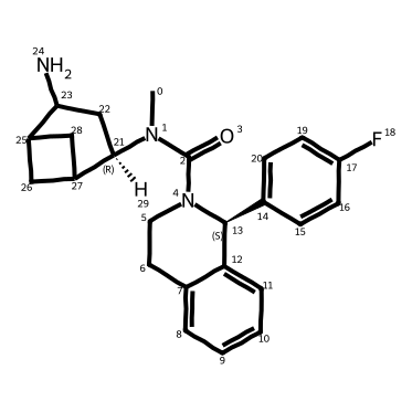 CN(C(=O)N1CCc2ccccc2[C@@H]1c1ccc(F)cc1)[C@@H]1CC(N)C2CC1C2